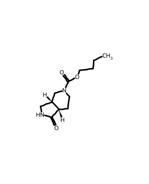 CCCCOC(=O)N1CC[C@@H]2C(=O)NC[C@@H]2C1